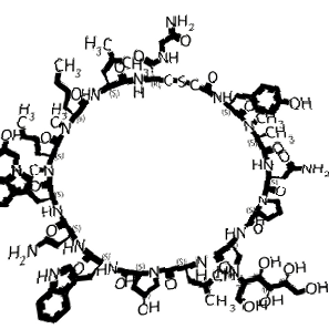 CCCC[C@H]1C(=O)N(C)[C@@H](CCCC)C(=O)N[C@@H](CC(C)C)C(=O)N[C@H](C(=O)NCC(N)=O)CSCC(=O)N[C@@H](Cc2ccc(O)cc2)C(=O)N(C)[C@@H](C)C(=O)N[C@@H](CC(N)=O)C(=O)N2CCC[C@H]2C(=O)N[C@@H](CNC(CO)[C@@H](O)[C@@H](O)[C@H](O)CO)C(=O)N[C@@H](CC(C)C)C(=O)N2C[C@H](O)C[C@H]2C(=O)N[C@@H](Cc2c[nH]c3ccccc23)C(=O)N[C@@H](CCN)C(=O)N[C@@H](Cc2cn(CC(=O)O)c3ccccc23)C(=O)N1C